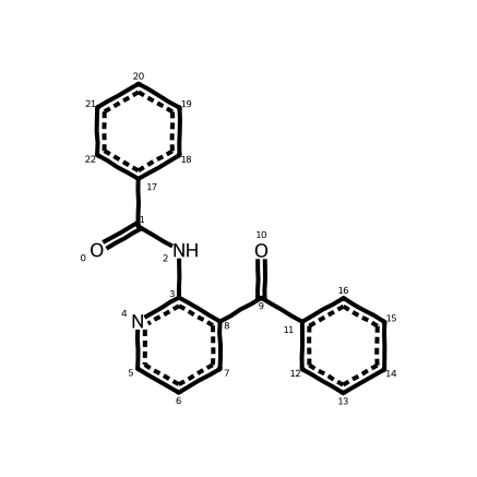 O=C(Nc1ncccc1C(=O)c1ccccc1)c1ccccc1